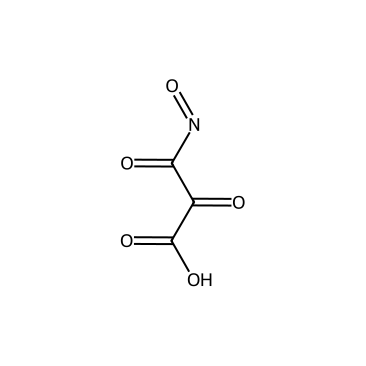 O=NC(=O)C(=O)C(=O)O